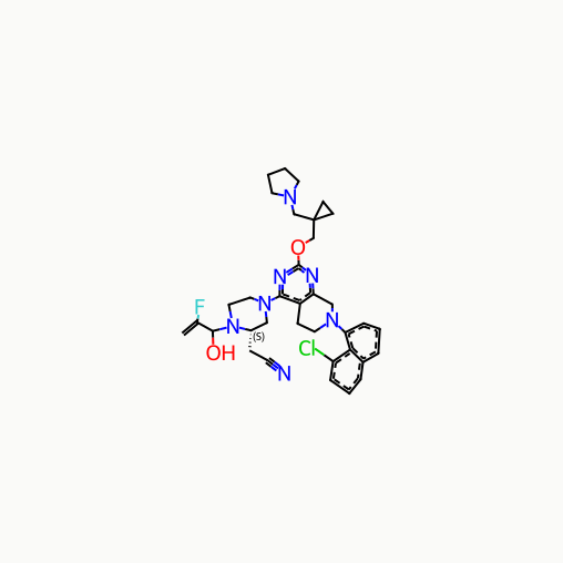 C=C(F)C(O)N1CCN(c2nc(OCC3(CN4CCCC4)CC3)nc3c2CCN(c2cccc4cccc(Cl)c24)C3)C[C@@H]1CC#N